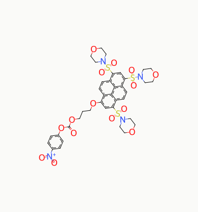 O=C(OCCCOc1cc(S(=O)(=O)N2CCOCC2)c2ccc3c(S(=O)(=O)N4CCOCC4)cc(S(=O)(=O)N4CCOCC4)c4ccc1c2c43)Oc1ccc([N+](=O)[O-])cc1